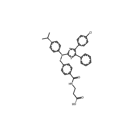 CC(C)c1ccc(N(Cc2ccc(C(=O)NCCC(=O)O)cc2)c2nc(-c3ccc(Cl)cc3)c(-c3ccccc3)s2)cc1